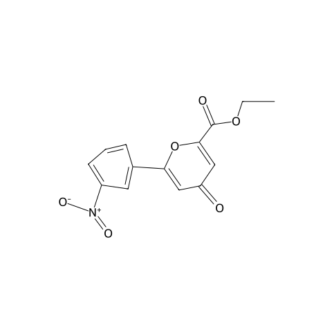 CCOC(=O)c1cc(=O)cc(-c2cccc([N+](=O)[O-])c2)o1